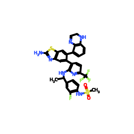 CC(Nc1nc(C(F)(F)F)ccc1-c1[c]c2nc(N)sc2cc1-c1cccc2c1N=CCN2)c1ccc(NS(C)(=O)=O)c(F)c1